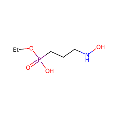 CCOP(=O)(O)CCCNO